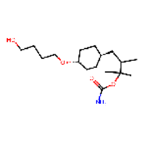 CC(C[C@H]1CC[C@H](OCCCCO)CC1)C(C)(C)OC(N)=O